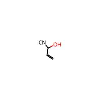 [C-]#[N+]C(O)C=C